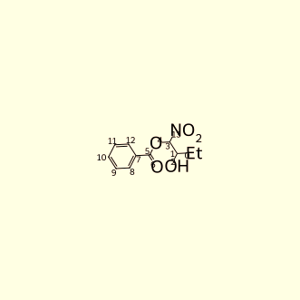 CCC(O)C(OC(=O)c1ccccc1)[N+](=O)[O-]